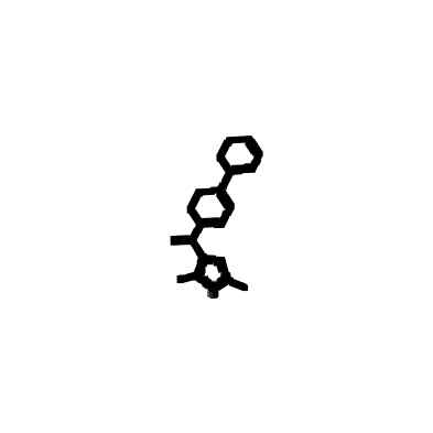 C=C(C1=CC=C(C2=CC=CCC2)CC1)c1cc(C)sc1C